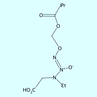 CCN(CC(=O)O)/[N+]([O-])=N/OCOC(=O)C(C)C